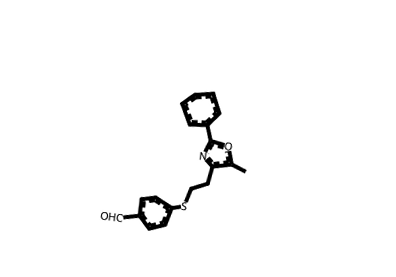 Cc1oc(-c2ccccc2)nc1CCSc1ccc(C=O)cc1